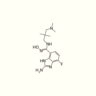 CN(C)CC(C)(C)CNC(=NO)c1ccc(F)c2nc(N)[nH]c12